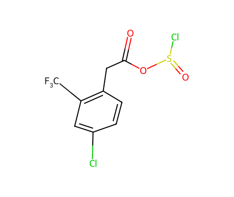 O=C(Cc1ccc(Cl)cc1C(F)(F)F)OS(=O)Cl